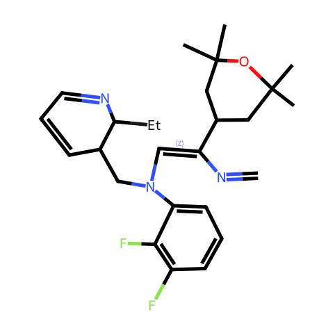 C=N/C(=C\N(CC1C=CC=NC1CC)c1cccc(F)c1F)C1CC(C)(C)OC(C)(C)C1